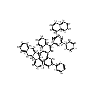 c1ccc(-c2cccc(-c3cc(-c4nc(-c5ccccc5)nc(-c5cccc6ccccc56)n4)c4ccccc4c3-n3c4ccccc4c4cc5ccccc5cc43)c2)cc1